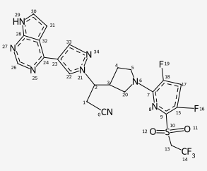 N#CCC(C1CCN(c2nc(S(=O)(=O)CC(F)(F)F)c(F)cc2F)C1)n1cc(-c2ncnc3[nH]ccc23)cn1